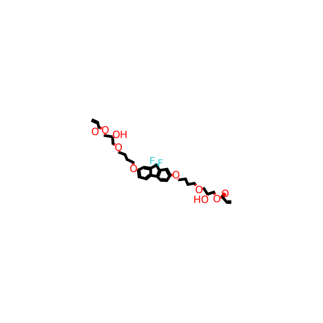 C=CC(=O)OCC(O)COCCCCOc1ccc2c(c1)C(F)(F)c1cc(OCCCCOCC(O)COC(=O)C=C)ccc1-2